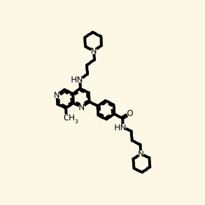 Cc1cncc2c(NCCCN3CCCCC3)cc(-c3ccc(C(=O)NCCCN4CCCCC4)cc3)nc12